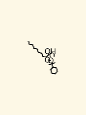 CCCCCCCCC(OOC(C)(C)C1CCCCC1)C(=O)O